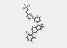 CC1(C)C2CC[C@]1(c1ccnc(-n3cnc(CCS(C)(=O)=O)n3)n1)c1nnc(-c3c(F)ccc(Cl)c3F)cc12